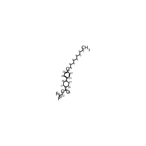 CCCCCCCCCCOc1ccc(C2CCC(C(=O)OCC(F)F)CC2)cc1